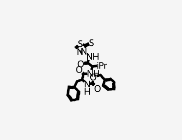 CC(C)C(NC(=O)C(Cc1ccccc1)NC(=O)OCc1ccccc1)C(=O)Nn1ncsc1=S